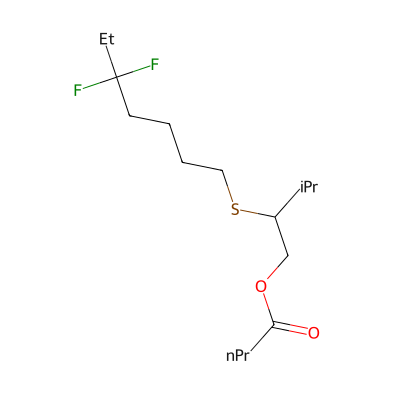 CCCC(=O)OCC(SCCCCC(F)(F)CC)C(C)C